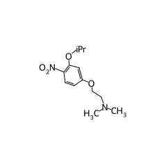 CC(C)Oc1cc(OCCN(C)C)ccc1[N+](=O)[O-]